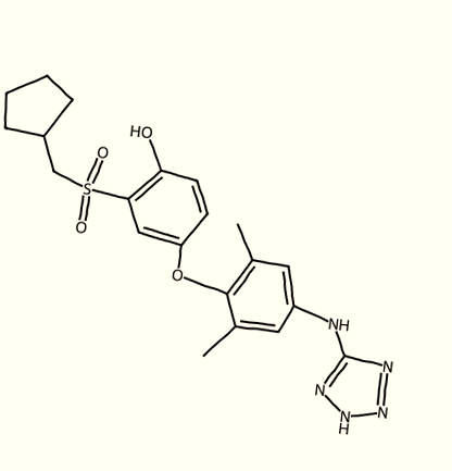 Cc1cc(Nc2nn[nH]n2)cc(C)c1Oc1ccc(O)c(S(=O)(=O)CC2CCCC2)c1